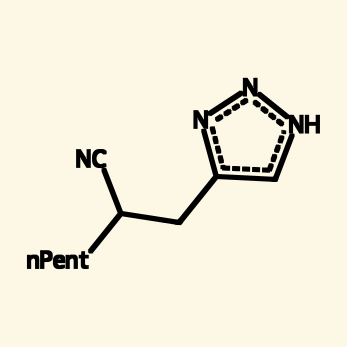 CCCCCC(C#N)Cc1c[nH]nn1